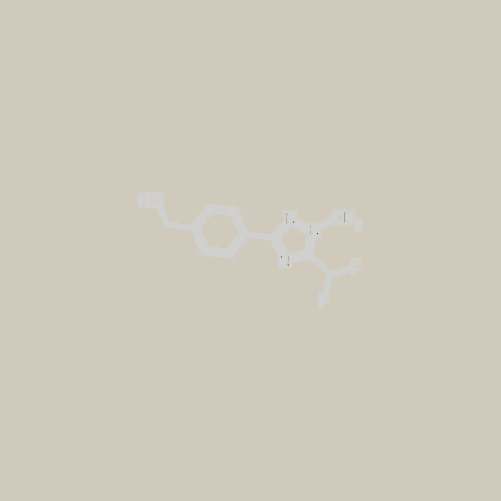 Cn1nc(-c2ccc(CO)cc2)nc1C(F)F